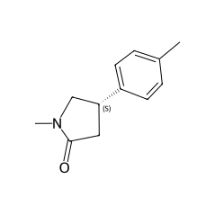 Cc1ccc([C@@H]2CC(=O)N(C)C2)cc1